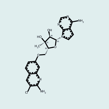 C[C@@]1(O)[C@@H](COc2ccc3cc(Cl)c(N)nc3c2)O[C@@H](n2ccc3c(N)ncnc32)[C@@H]1O